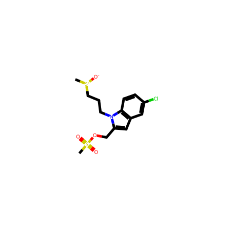 C[S+]([O-])CCCn1c(COS(C)(=O)=O)cc2cc(Cl)ccc21